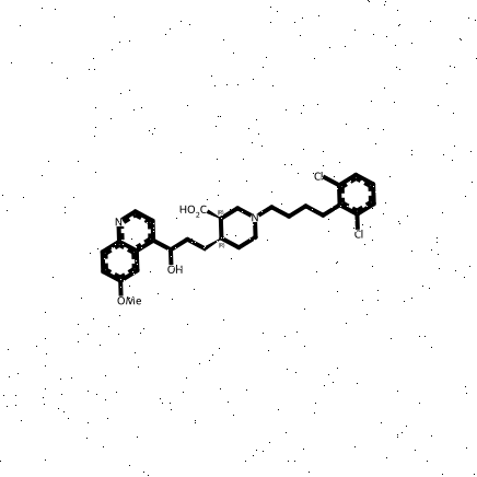 COc1ccc2nccc(C(O)CC[C@@H]3CCN(CCCCc4c(Cl)cccc4Cl)C[C@@H]3C(=O)O)c2c1